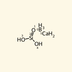 B.O=[Si](O)O.[CaH2]